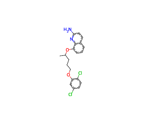 CC(CCCOc1cc(Cl)ccc1Cl)Oc1cccc2ccc(N)nc12